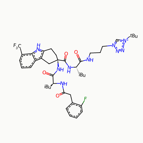 CCC(C)[C@H](NC(=O)Cc1ccccc1F)C(=O)N[C@]1(C(=O)N[C@H](C(=O)NCCCn2c[n+](C(C)(C)C)nn2)C(C)CC)CCc2[nH]c3c(C(F)(F)F)cccc3c2C1